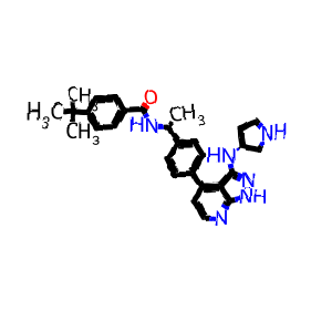 C[C@H](NC(=O)c1ccc(C(C)(C)C)cc1)c1ccc(-c2ccnc3[nH]nc(N[C@@H]4CCNC4)c23)cc1